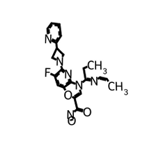 C/C=C\N=C(/CC)N1C=C(C(=O)N=O)Oc2cc(F)c(N3CC(c4ccccn4)C3)nc21